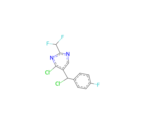 Fc1ccc(C(Cl)c2cnc(C(F)F)nc2Cl)cc1